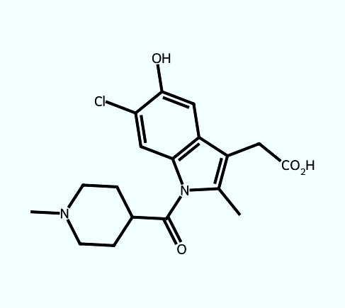 Cc1c(CC(=O)O)c2cc(O)c(Cl)cc2n1C(=O)C1CCN(C)CC1